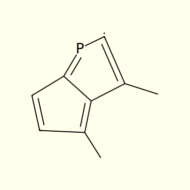 CC1=[C]P=C2C=CC(C)=C12